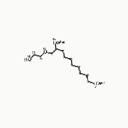 CCCCCCCCCCCCCCCCCCC(COCCO)OC